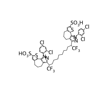 O=S(=O)(O)c1cc2c(s1)-c1c(c(C(CCCCCCCCC(c3nn(-c4ccc(Cl)cc4Cl)c4c3CCCc3cc(S(=O)(=O)O)sc3-4)C(F)(F)F)C(F)(F)F)nn1-c1ccc(Cl)cc1Cl)CCC2